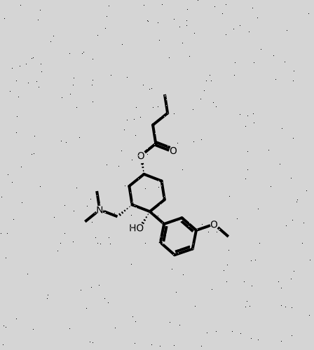 CCCC(=O)O[C@@H]1CC[C@@](O)(c2cccc(OC)c2)[C@H](CN(C)C)C1